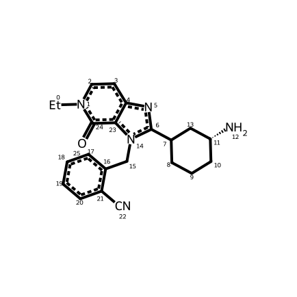 CCn1ccc2nc(C3CCC[C@@H](N)C3)n(Cc3ccccc3C#N)c2c1=O